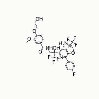 COc1cc(C(=O)NCC(O)(c2cc3c(c(-c4ccc(F)cc4)n2)OC[C@@]3(N)C(F)(F)F)C(F)(F)F)ccc1OCCO